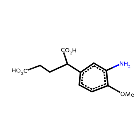 COc1ccc(C(CCC(=O)O)C(=O)O)cc1N